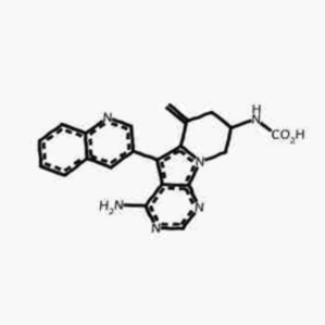 C=C1CC(NC(=O)O)Cn2c1c(-c1cnc3ccccc3c1)c1c(N)ncnc12